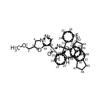 COCC1Cn2ncc(S(=O)(=NC(c3ccccc3)(c3ccccc3)c3ccccc3)NC(=O)Nc3c4c(cc5c3C[C@@H](F)C5)CCC4)c2O1